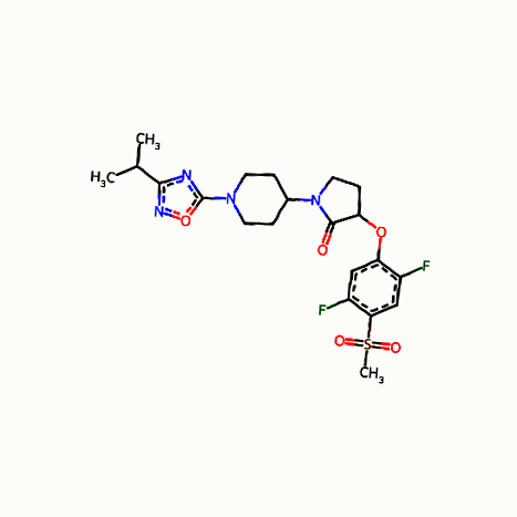 CC(C)c1noc(N2CCC(N3CCC(Oc4cc(F)c(S(C)(=O)=O)cc4F)C3=O)CC2)n1